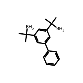 BC(C)(C)c1cc(-c2ccccc2)cc(C(B)(C)C)c1